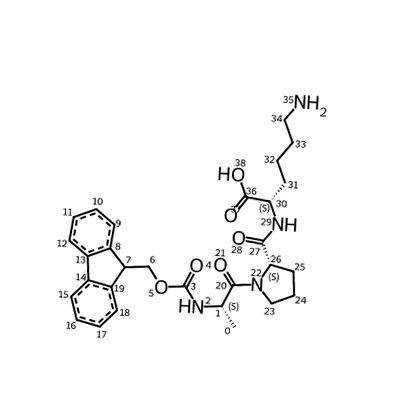 C[C@H](NC(=O)OCC1c2ccccc2-c2ccccc21)C(=O)N1CCC[C@H]1C(=O)N[C@@H](CCCCN)C(=O)O